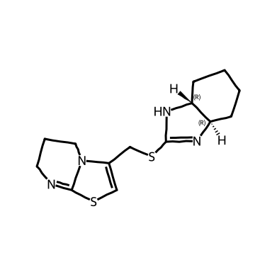 C1=C(CSC2=N[C@@H]3CCCC[C@H]3N2)N2CCCN=C2S1